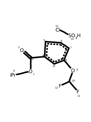 CC(C)OC(=O)c1cccc(OC(F)F)c1.O=S(=O)(O)Cl